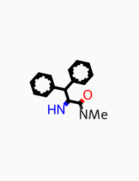 CNC(=O)C(=N)C(c1ccccc1)c1ccccc1